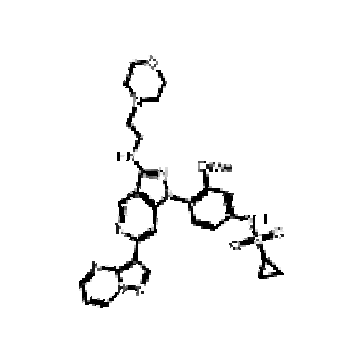 COc1cc(NS(=O)(=O)C2CC2)ccc1-n1nc(NCCN2CCOCC2)c2cnc(-c3cnn4cccnc34)cc21